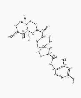 O=C1CO[C@H]2CCN(C(=O)N3CCC4(CC3)CC(NCc3ccc(F)cc3Cl)CO4)C[C@H]2N1